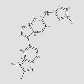 Cc1nc2ccc(-c3ccn4nc(Nc5cnn(C)c5)ncc34)nc2n1C